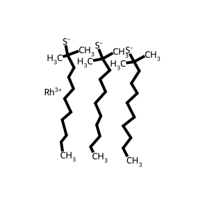 CCCCCCCCCC(C)(C)[S-].CCCCCCCCCC(C)(C)[S-].CCCCCCCCCC(C)(C)[S-].[Rh+3]